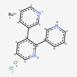 [Cl-].[Cl-].[Ru+2].c1cncc(-c2cccnc2-c2cccnc2)c1